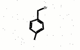 [CH2]c1ccc(CBr)cc1